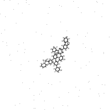 CC1(C)c2ccccc2-c2cc(-c3cc(-c4ccccc4)cc(-c4cccc(C5=NC(c6ccc7oc8ccccc8c7c6)=N[C@H](c6ccccc6)N5)c4)c3-c3ccccc3)ccc21